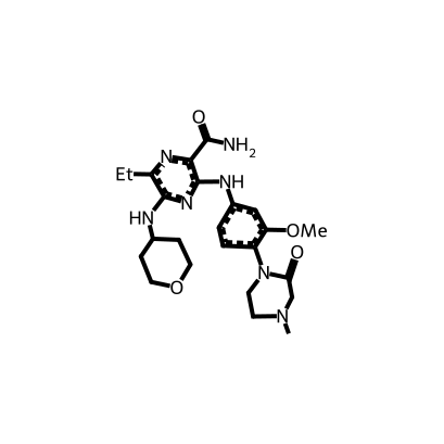 CCc1nc(C(N)=O)c(Nc2ccc(N3CCN(C)CC3=O)c(OC)c2)nc1NC1CCOCC1